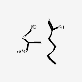 CCCCC(=O)O.CCCCCCC(C)ON=O